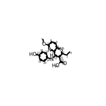 CCc1nc2ccc(OC)nc2c(Nc2ccc(O)cc2)c1C(=O)O